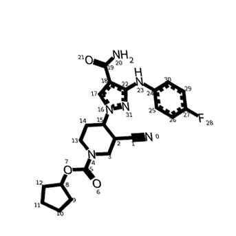 N#CC1CN(C(=O)OC2CCCC2)CCC1n1cc(C(N)=O)c(Nc2ccc(F)cc2)n1